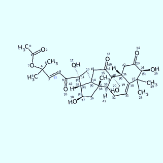 CC(=O)OC(C)(C)/C=C/C(=O)[C@@]1(O)C[C@]23CC(=O)[C@@]4(CO)[C@@H]5CC(=O)[C@@H](O)C(C)(C)C5=CC[C@H]4[C@]2(C)C[C@@H](O)[C@@H]31